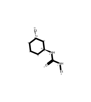 CCNC(=O)N[C@H]1CCC[C@H](CC)C1